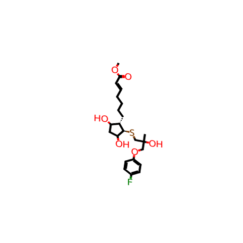 COC(=O)C=CCCCC[C@H]1C(O)CC(O)[C@@H]1SCC(C)(O)COc1ccc(F)cc1